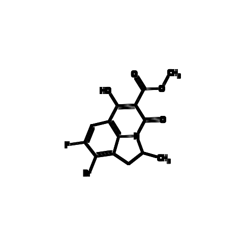 COC(=O)c1c(O)c2cc(F)c(Br)c3c2n(c1=O)C(C)C3